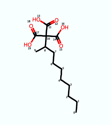 CCCCCCCCC(C)C(C(=O)O)(C(=O)O)C(=O)O